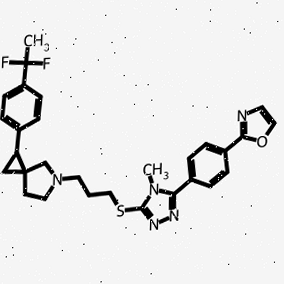 Cn1c(SCCCN2CCC3(CC3c3ccc(C(C)(F)F)cc3)C2)nnc1-c1ccc(-c2ncco2)cc1